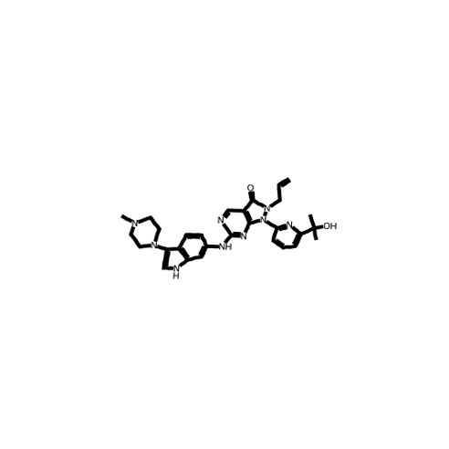 C=CCn1c(=O)c2cnc(Nc3ccc4c(N5CCN(C)CC5)c[nH]c4c3)nc2n1-c1cccc(C(C)(C)O)n1